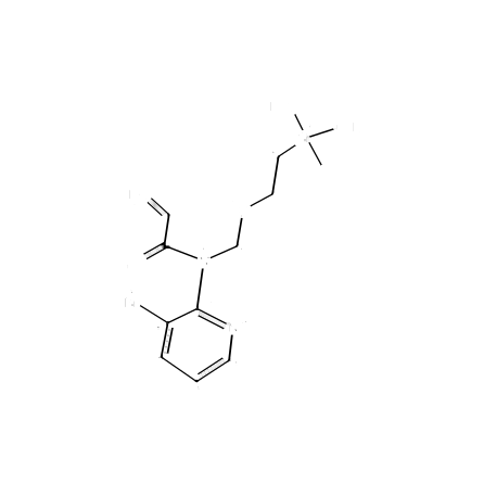 C=CC(=O)N(COCC[Si](C)(C)C)c1ncccc1Br